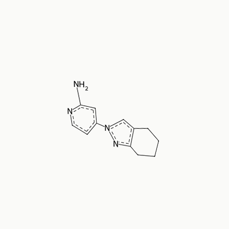 Nc1cc(-n2cc3c(n2)CCCC3)ccn1